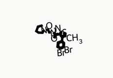 Cc1sc2ncn(CC(=O)N3CCCCC3)c(=O)c2c1-c1ccc(Br)c(Br)c1